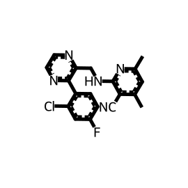 Cc1cc(C)c(C#N)c(NCc2nccnc2-c2ccc(F)cc2Cl)n1